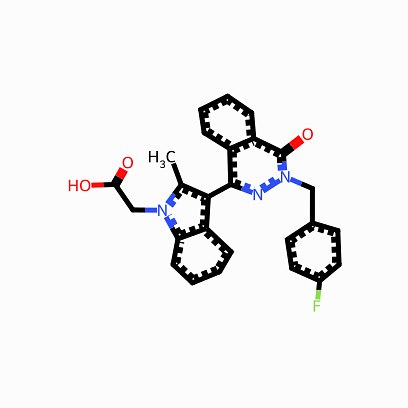 Cc1c(-c2nn(Cc3ccc(F)cc3)c(=O)c3ccccc23)c2ccccc2n1CC(=O)O